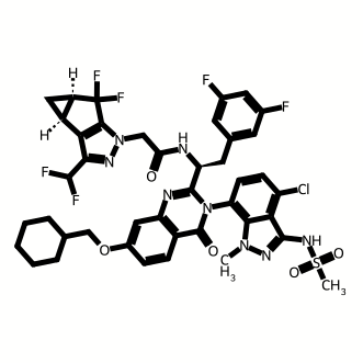 Cn1nc(NS(C)(=O)=O)c2c(Cl)ccc(-n3c([C@H](Cc4cc(F)cc(F)c4)NC(=O)Cn4nc(C(F)F)c5c4C(F)(F)[C@@H]4C[C@H]54)nc4cc(OCC5CCCCC5)ccc4c3=O)c21